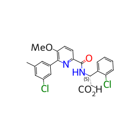 COc1ccc(C(=O)N[C@@H](CC(=O)O)c2ccccc2Cl)nc1-c1cc(C)cc(Cl)c1